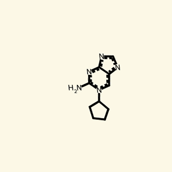 Nc1nc2ncnc-2cn1C1CCCC1